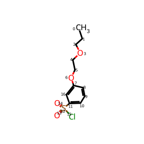 CCCOCCOc1cccc(S(=O)(=O)Cl)c1